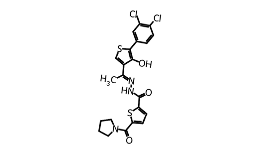 CC(=NNC(=O)c1ccc(C(=O)N2CCCC2)s1)c1csc(-c2ccc(Cl)c(Cl)c2)c1O